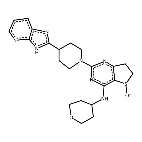 [O-][S+]1CCc2nc(N3CCC(c4nc5cccnc5[nH]4)CC3)nc(NC3CCOCC3)c21